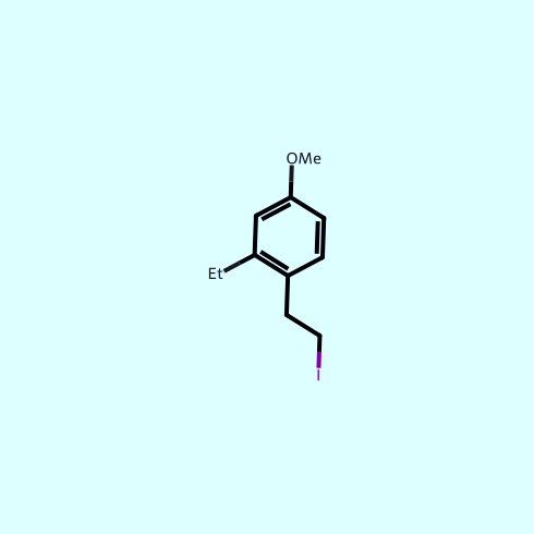 CCc1cc(OC)ccc1CCI